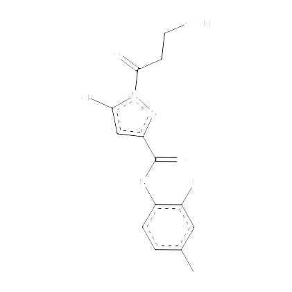 Cc1ccc(NC(=O)c2cc(Cl)n(C(=O)CCC(=O)O)n2)c(F)c1